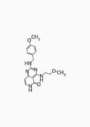 COCCNc1nc(NCc2ccc(OC)cc2)nc2cc[nH]c(=O)c12